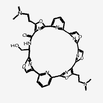 CN(C)CCc1oc2nc1C(=O)NC(CO)c1nc(co1)-c1cccc(n1)-c1nc(c(CCN(C)C)o1)-c1nc(co1)-c1nc(co1)-c1cccc-2n1